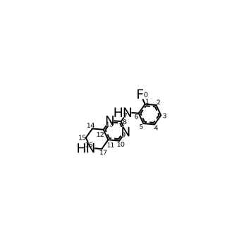 Fc1ccccc1Nc1ncc2c(n1)CCNC2